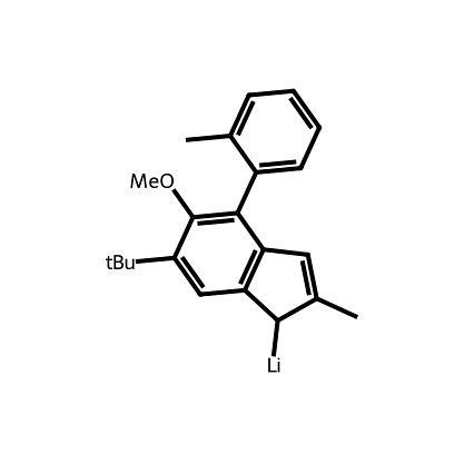 [Li][CH]1C(C)=Cc2c1cc(C(C)(C)C)c(OC)c2-c1ccccc1C